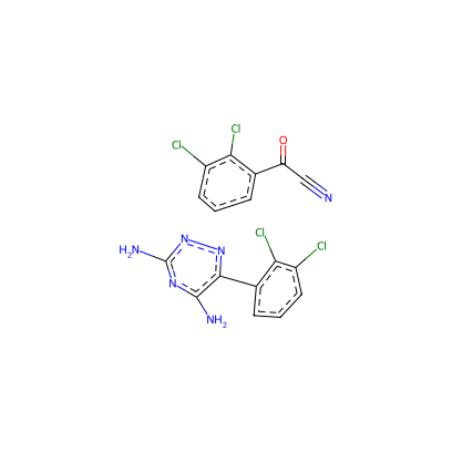 N#CC(=O)c1cccc(Cl)c1Cl.Nc1nnc(-c2cccc(Cl)c2Cl)c(N)n1